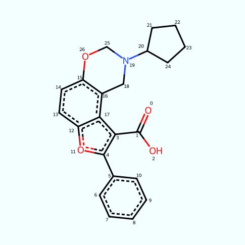 O=C(O)c1c(-c2ccccc2)oc2ccc3c(c12)CN(C1CCCC1)CO3